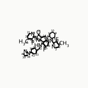 Cc1ccnc(N[C@H]2CCCC[C@@H]2n2cc3c(=O)n(-c4nccc(C)c4F)nc-3c3c(NCc4ccc(-n5cccn5)cc4)c(F)ccc32)c1F